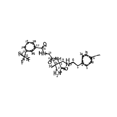 Cc1ccc(CCNCC(NC(=O)CNC(=O)c2cccc(C(F)(F)F)c2)(C(N)=O)C(C)(C)C)cc1